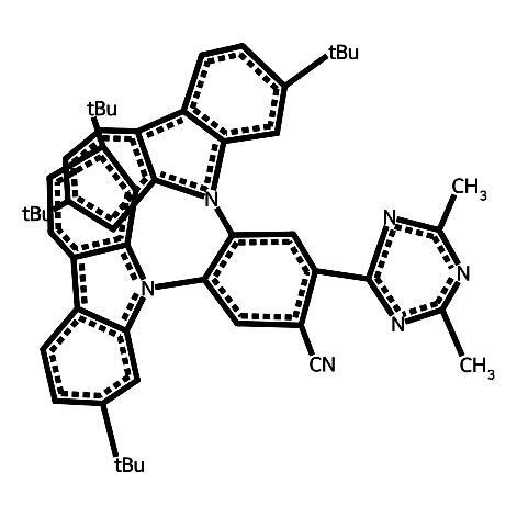 Cc1nc(C)nc(-c2cc(-n3c4cc(C(C)(C)C)ccc4c4ccc(C(C)(C)C)cc43)c(-n3c4cc(C(C)(C)C)ccc4c4ccc(C(C)(C)C)cc43)cc2C#N)n1